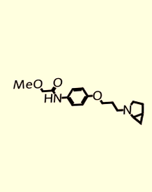 COCC(=O)Nc1ccc(OCCCN2CCC3CC32)cc1